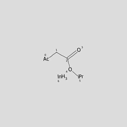 CC(=O)CC(=O)OC(C)C.[InH3]